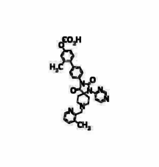 Cc1cc(OC(=O)O)ccc1-c1ccc(N2C(=O)N(c3ccncn3)C3(CCN(Cc4ncccc4C)CC3)C2=O)cc1